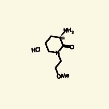 COCCN1CCC[C@H](N)C1=O.Cl